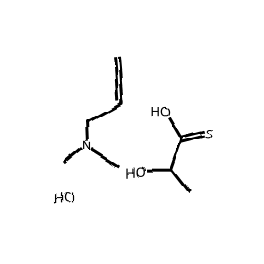 C=CCN(C)C.CC(O)C(O)=S.Cl